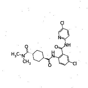 CN(C)C(=O)[C@H]1CC[C@H](C(=O)Nc2ccc(Cl)cc2C(=O)Nc2ccc(Cl)cn2)CC1